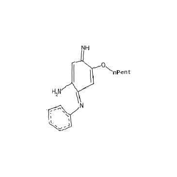 CCCCCOC1=CC(=Nc2c[c]ccc2)C(N)=CC1=N